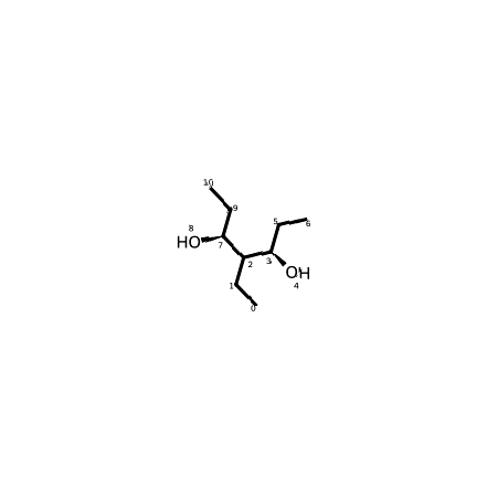 CCC([C@H](O)CC)[C@@H](O)CC